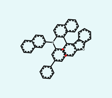 c1ccc(-c2cccc(N(c3ccc4ccccc4c3)c3ccc4ccccc4c3-c3cccc4oc5ccccc5c34)c2)cc1